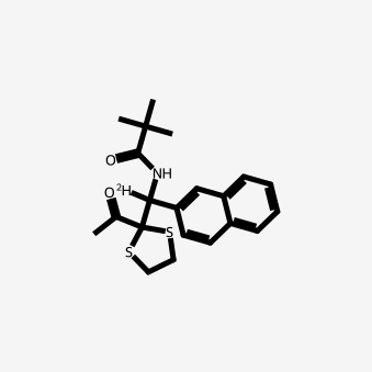 [2H]C(NC(=O)C(C)(C)C)(c1ccc2ccccc2c1)C1(C(C)=O)SCCS1